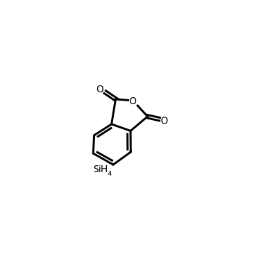 O=C1OC(=O)c2ccccc21.[SiH4]